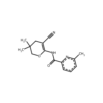 Cc1cccc(C(=O)NC2=C(C#N)CC(C)(C)CO2)n1